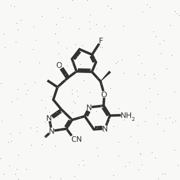 CC1Cc2nn(C)c(C#N)c2-c2cnc(N)c(n2)O[C@H](C)c2cc(F)ccc2C1=O